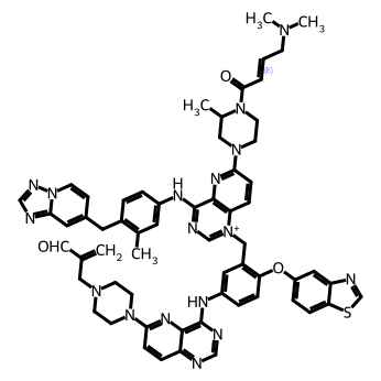 C=C(C=O)CN1CCN(c2ccc3ncnc(Nc4ccc(Oc5ccc6scnc6c5)c(C[n+]5cnc(Nc6ccc(Cc7ccn8ncnc8c7)c(C)c6)c6nc(N7CCN(C(=O)/C=C/CN(C)C)C(C)C7)ccc65)c4)c3n2)CC1